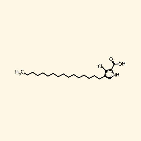 CCCCCCCCCCCCCCCCc1c[nH]c(C(=O)O)c1Cl